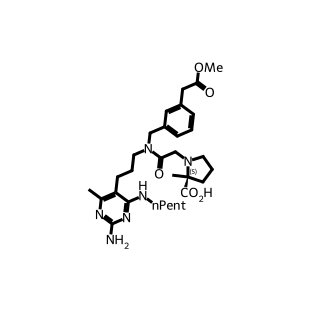 CCCCCNc1nc(N)nc(C)c1CCCN(Cc1cccc(CC(=O)OC)c1)C(=O)CN1CCC[C@@]1(C)C(=O)O